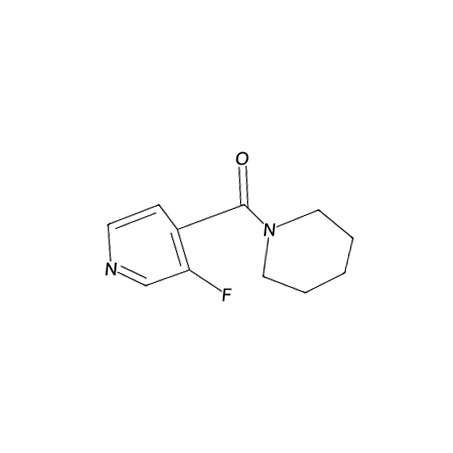 O=C(c1ccncc1F)N1CCCCC1